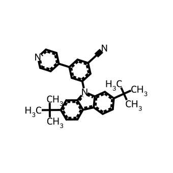 CC(C)(C)c1ccc2c3ccc(C(C)(C)C)cc3n(-c3cc(C#N)cc(-c4ccncc4)c3)c2c1